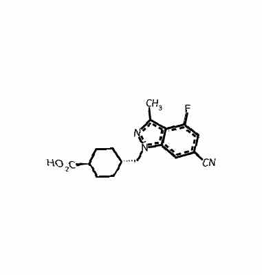 Cc1nn(C[C@H]2CC[C@H](C(=O)O)CC2)c2cc(C#N)cc(F)c12